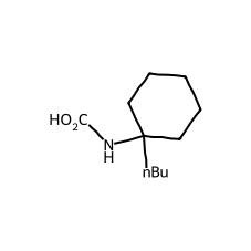 CCCCC1(NC(=O)O)CCCCC1